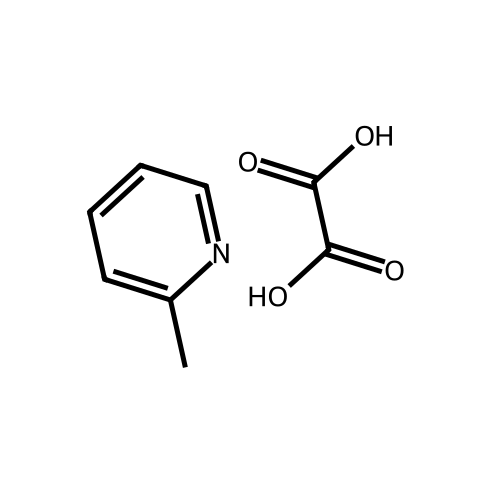 Cc1ccccn1.O=C(O)C(=O)O